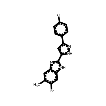 Cc1cc2nc(-c3cc(-c4ccc(Cl)cc4)n[nH]3)[nH]c2cc1Br